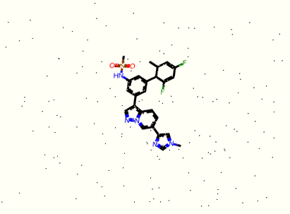 CC1C=C(F)C=C(F)C1c1cc(NS(C)(=O)=O)cc(-c2cnn3cc(-c4cn(C)cn4)ccc23)c1